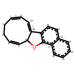 C1=C\CC/C=C\C2Oc3c(ccc4ccccc34)/C2=C/1